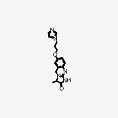 CC1C(=O)NC2=Nc3ccc(OCCCn4ccnc4)cc3CN21